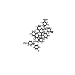 CC(C)c1ccc(N(c2ccc(F)cc2)c2ccc3c4c(c5ccccc5c3c2)-c2c(cc(N(c3ccc(F)cc3)c3ccc(C(C)C)cc3)c3ccccc23)C4(c2ccccc2)c2ccccc2)cc1